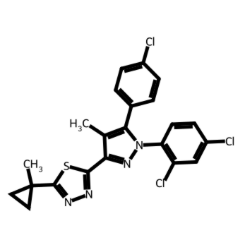 Cc1c(-c2nnc(C3(C)CC3)s2)nn(-c2ccc(Cl)cc2Cl)c1-c1ccc(Cl)cc1